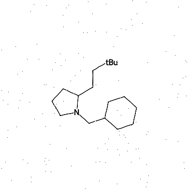 CC(C)(C)CCC1CCCN1CC1CCCCC1